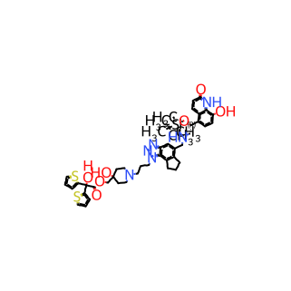 CC(C)(C)[Si](C)(C)O[C@@H](CNCc1cc2nnn(CCCN3CCC(O)(COC(=O)C(O)(c4cccs4)c4cccs4)CC3)c2c2c1CCC2)c1ccc(O)c2[nH]c(=O)ccc12